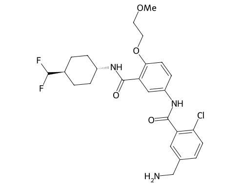 COCCOc1ccc(NC(=O)c2cc(CN)ccc2Cl)cc1C(=O)N[C@H]1CC[C@H](C(F)F)CC1